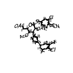 CC(=O)OCC1O[C@H](Sc2cnc(C#N)c(Cl)c2)C(OC(C)=O)C(n2cc(-c3cc(F)c(Cl)c(F)c3)nn2)[C@H]1OC(C)=O